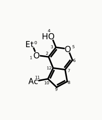 CCOc1c(O)occ2ccc(C(C)=O)c1-2